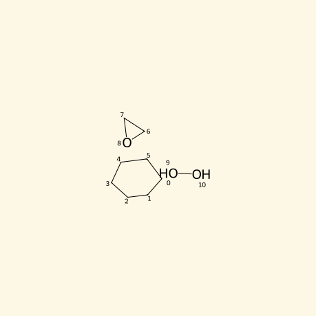 C1CCCCC1.C1CO1.OO